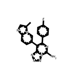 Cc1cnc2ccc(-c3c(-c4ccc(F)cc4)nc(N)n4nnnc34)cn12